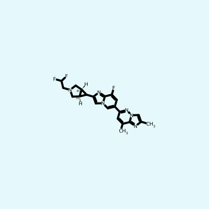 Cc1cn2nc(-c3cc(F)c4nc(C5[C@H]6CN(CC(F)F)C[C@@H]56)cn4c3)cc(C)c2n1